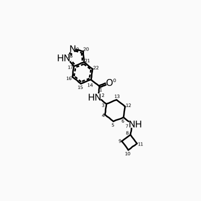 O=C(NC1CCC(NC2CCC2)CC1)c1ccc2[nH]ncc2c1